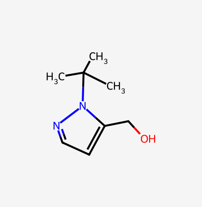 CC(C)(C)n1nccc1CO